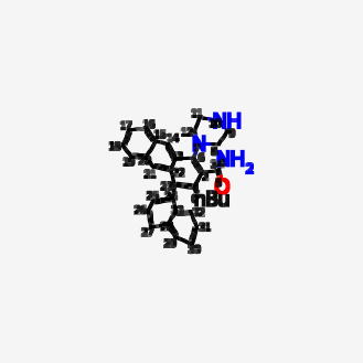 CCCCc1c(C(N)=O)c(N2CCNCC2)c2cc3ccccc3cc2c1-c1cccc2ccccc12